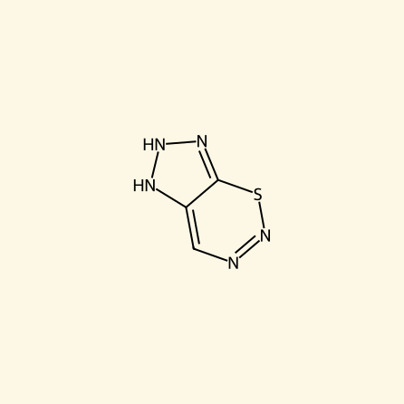 C1=C2NNN=C2SN=N1